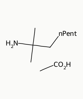 CC(=O)O.CCCCCCC(C)(C)N